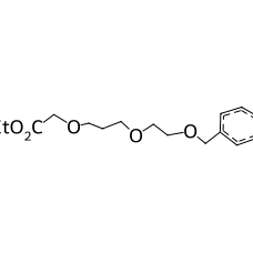 CCOC(=O)COCCCOCCOCc1ccccc1